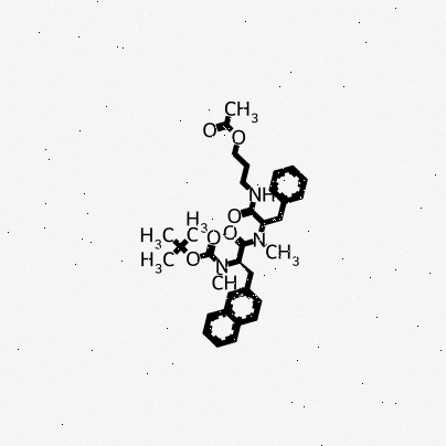 CC(=O)OCCCNC(=O)C(Cc1ccccc1)N(C)C(=O)[C@@H](Cc1ccc2ccccc2c1)N(C)C(=O)OC(C)(C)C